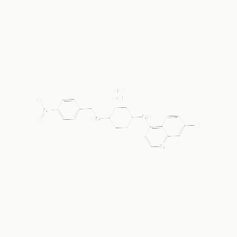 Cl.Cl.O=[N+]([O-])c1ccc(CNC2CCC(Nc3ccnc4cc(Cl)ccc34)CC2)cc1